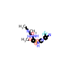 CCC/C=N/C(C)=C/C(=O)NC(=N)c1cc(S(=O)(=O)NC2CCN(c3ccc(C#N)c(C(F)(F)F)c3)CC2)ccc1OCC